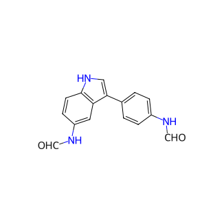 O=CNc1ccc(-c2c[nH]c3ccc(NC=O)cc23)cc1